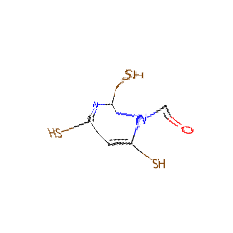 O=CN1C(S)=CC(S)=NC1S